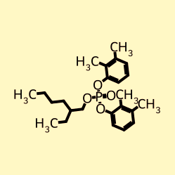 CCCCC(CC)COP(=O)(Oc1cccc(C)c1C)Oc1cccc(C)c1C